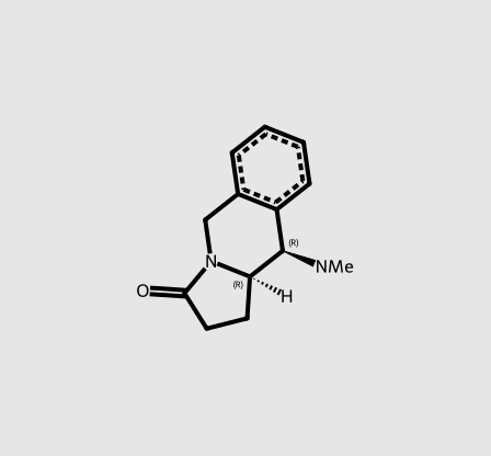 CN[C@@H]1c2ccccc2CN2C(=O)CC[C@H]12